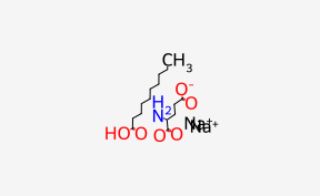 CCCCCCCCCC(=O)O.NC(CCC(=O)[O-])C(=O)[O-].[Na+].[Na+]